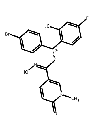 Cc1cc(F)ccc1[C@H](CC(=NO)c1ccc(=O)n(C)c1)c1ccc(Br)cc1